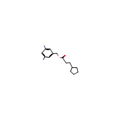 Nc1cc(N)cc(COC(=O)CCC2CCCC2)c1